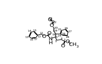 COC(=O)CCC(NC(=O)OCc1ccccc1)C(CCOP=O)c1ccccc1